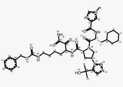 Cn1cnc(C(=O)N[C@H](CC2CCCCC2)C(=O)N2C[C@@H](n3nncc3C(C)(C)O)C[C@H]2C(=O)NC(CCCCNC(=O)OCc2ccccc2)C(=O)C(N)=O)c1